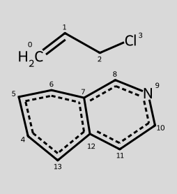 C=CCCl.c1ccc2cnccc2c1